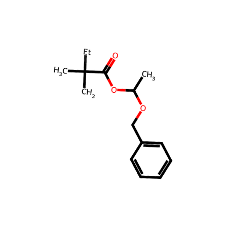 CCC(C)(C)C(=O)OC(C)OCc1ccccc1